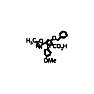 COc1ccc(-n2c(-c3nnc(C)o3)cc(OCc3ccccc3)c2C(=O)O)cc1